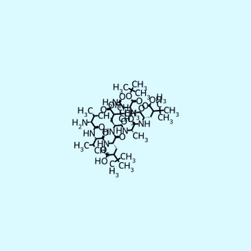 CC(C)[C@H](N)C(=O)N[C@H](C(=O)N[C@@H](CC(C(=O)O)C(C)(C)C)C(=O)N[C@@H](CC(C(=O)O)C(C)(C)C)C(=O)N[C@@H](C)C(=O)N[C@@H](CC(C(=O)O)C(C)(C)C)C(=O)N[C@@H](CC(N)=O)C(=O)OC(C)(C)C)C(C)C